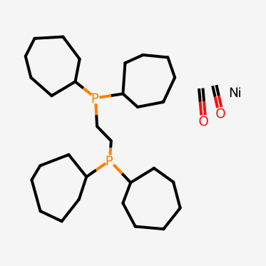 C1CCCC(P(CCP(C2CCCCCC2)C2CCCCCC2)C2CCCCCC2)CC1.C=O.C=O.[Ni]